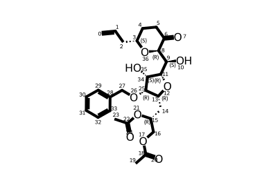 C=CC[C@@H]1CCC(=O)[C@@H]([C@@H](O)[C@@H]2O[C@H](C[C@H](COC(C)=O)OC(C)=O)[C@H](OCc3ccccc3)[C@@H]2O)O1